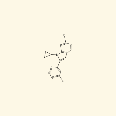 Fc1ccc2cc(-c3cnnc(Cl)c3)n(C3CC3)c2c1